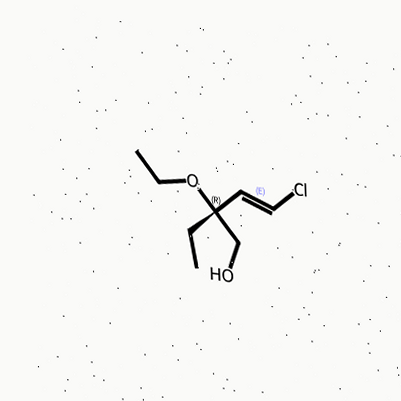 CCO[C@@](/C=C/Cl)(CC)CO